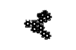 c1ccc(-c2ccc(N(c3ccc4c(c3)Oc3ccccc3C43c4ccccc4-c4ccccc43)c3ccc(-c4ccc5ccccc5c4)c4oc5ccccc5c34)cc2)cc1